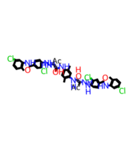 CC(=O)/C(NNc1ccc(C(=O)Nc2cc(Cl)ccc2C)cc1Cl)=C(/O)Nc1cc(C)c(N/C(O)=C(/NNc2ccc(C(=O)Nc3cc(Cl)ccc3C)cc2Cl)C(C)=O)cc1C